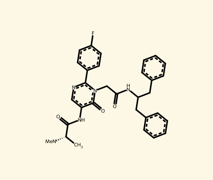 CN[C@@H](C)C(=O)Nc1cnc(-c2ccc(F)cc2)n(CC(=O)NC(Cc2ccccc2)Cc2ccccc2)c1=O